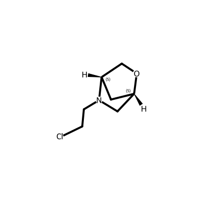 ClCCN1C[C@@H]2C[C@H]1CO2